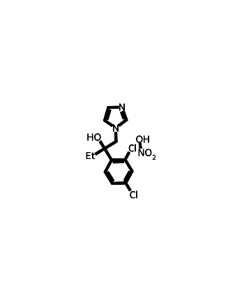 CCC(O)(Cn1ccnc1)c1ccc(Cl)cc1Cl.O=[N+]([O-])O